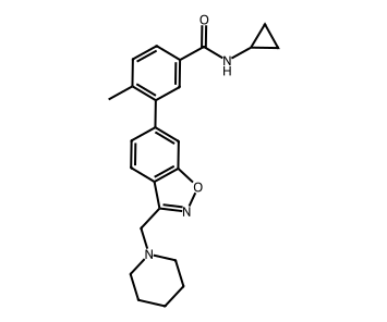 Cc1ccc(C(=O)NC2CC2)cc1-c1ccc2c(CN3CCCCC3)noc2c1